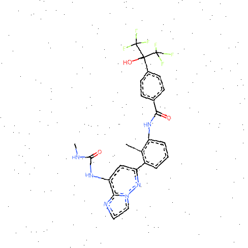 CNC(=O)Nc1cc(-c2cccc(NC(=O)c3ccc(C(O)(C(F)(F)F)C(F)(F)F)cc3)c2C)nn2ccnc12